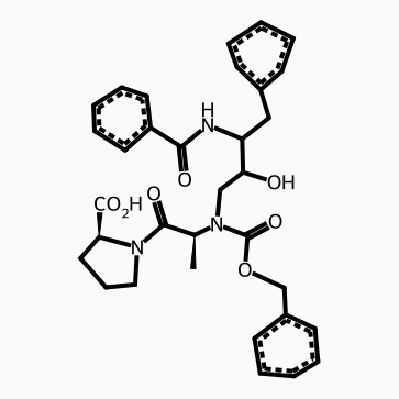 C[C@@H](C(=O)N1CCC[C@H]1C(=O)O)N(CC(O)C(Cc1ccccc1)NC(=O)c1ccccc1)C(=O)OCc1ccccc1